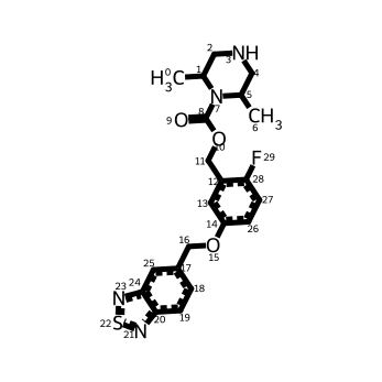 CC1CNCC(C)N1C(=O)OCc1cc(OCc2ccc3nsnc3c2)ccc1F